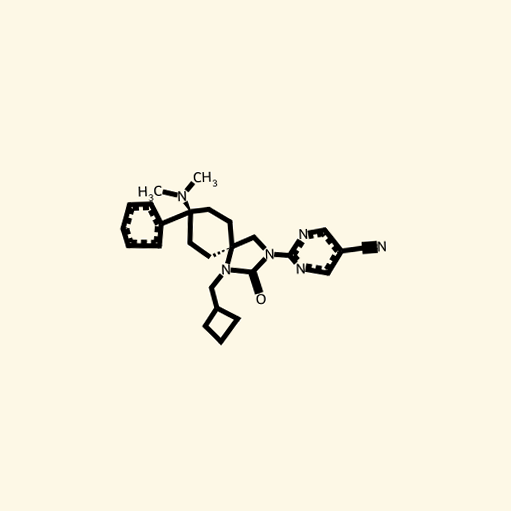 CN(C)[C@]1(c2ccccc2)CC[C@]2(CC1)CN(c1ncc(C#N)cn1)C(=O)N2CC1CCC1